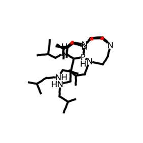 CC(C)CNCC(C)(CNCC(C)C)C(NCC(C)C)[PH]12N(CC(C)C)CCN(CCN1CC(C)C)CCN2CC(C)C